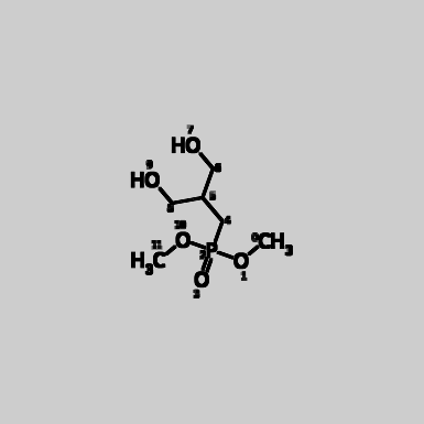 COP(=O)(CC(CO)CO)OC